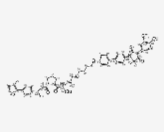 Cc1ncsc1-c1ccc([C@H](C)NC(=O)[C@@H]2CCCN2C(=O)C(NC(=O)COCCCCOc2ccc(-c3ccc(N4C(=S)N(c5cnc(C#N)c(C(F)(F)F)c5)C(=O)C4(C)C)cc3)cc2)C(C)(C)C)cc1